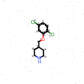 Clc1ccc(Cl)c(OCC2CCNCC2)c1